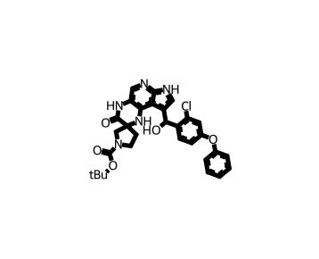 CC(C)(C)OC(=O)N1CCC2(C1)Nc1c(cnc3[nH]cc(C(O)c4ccc(Oc5ccccc5)cc4Cl)c13)NC2=O